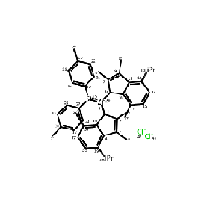 CC1=C(C)[CH]([Zr+2]([CH]2C(C)=C(C)c3c(C(C)C)ccc(C)c32)=[Si](c2ccc(C)cc2)c2ccc(C)cc2)c2c(C)ccc(C(C)C)c21.[Cl-].[Cl-]